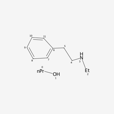 CCCO.CCNCCc1ccccc1